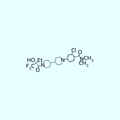 CCC(O)(C(=O)N1CCC(C2CCN(c3ccc(C(=O)N(C)C)c(Cl)c3)CC2)CC1)C(F)(F)F